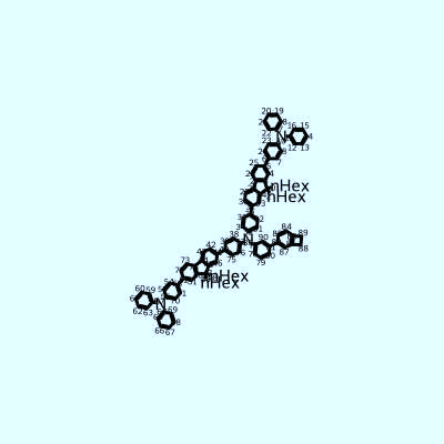 CCCCCCC1(CCCCCC)c2cc(-c3ccc(N(c4ccccc4)c4ccccc4)cc3)ccc2-c2ccc(-c3ccc(N(c4ccc(-c5ccc6c(c5)C(CCCCCC)(CCCCCC)c5cc(-c7ccc(N(c8ccccc8)c8ccccc8)cc7)ccc5-6)cc4)c4cccc(-c5ccc6c(c5)CC6)c4)cc3)cc21